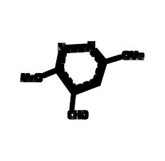 COc1cc(C=O)c(OC)nn1